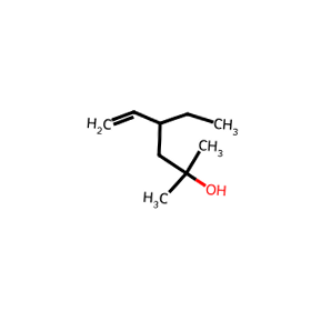 C=CC(CC)CC(C)(C)O